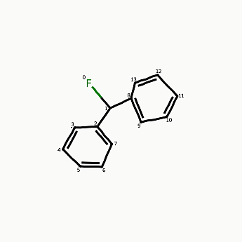 FC(c1[c]cccc1)c1ccccc1